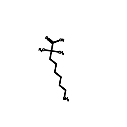 CC(C)(CCCCCCN)C(=O)O